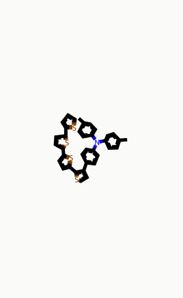 Cc1ccc(N(c2ccc(C)cc2)c2ccc(-c3ccsc3-c3ccc(-c4ccc(-c5cccs5)s4)s3)cc2)cc1